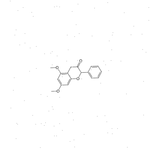 COc1cc(OC)c2c(c1)OC(c1ccccc1)C(=O)C2